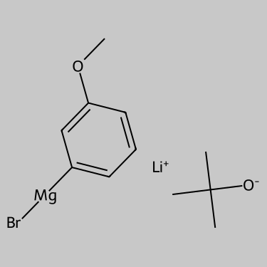 CC(C)(C)[O-].COc1ccc[c]([Mg][Br])c1.[Li+]